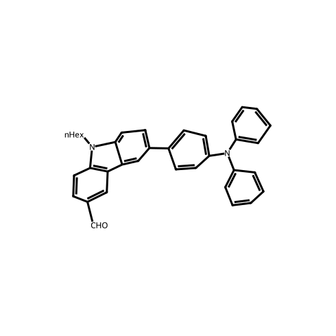 CCCCCCn1c2ccc(C=O)cc2c2cc(-c3ccc(N(c4ccccc4)c4ccccc4)cc3)ccc21